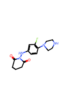 O=C1CCCC(=O)N1Nc1ccc(N2CCNCC2)c(F)c1